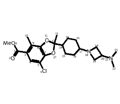 COC(=O)c1cc(Cl)c2c(c1C)OC(C)(C1CCC(N3CC(N(C)C)C3)CC1)O2